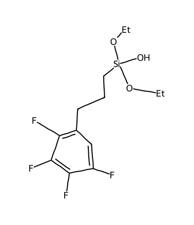 CCO[Si](O)(CCCc1cc(F)c(F)c(F)c1F)OCC